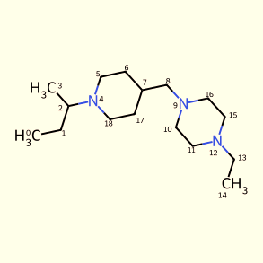 CCC(C)N1CCC(CN2CCN(CC)CC2)CC1